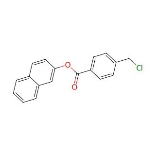 O=C(Oc1ccc2ccccc2c1)c1ccc(CCl)cc1